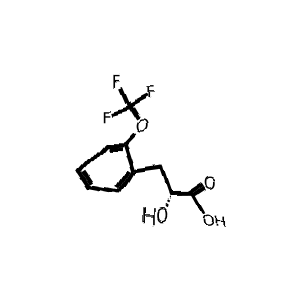 O=C(O)[C@H](O)Cc1ccccc1OC(F)(F)F